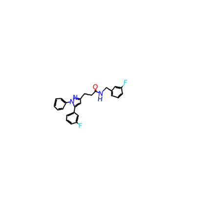 O=C(CCc1cc(-c2cccc(F)c2)n(-c2ccccc2)n1)NCc1cccc(F)c1